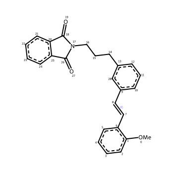 COc1ccccc1/C=C/c1cccc(CCCN2C(=O)c3ccccc3C2=O)c1